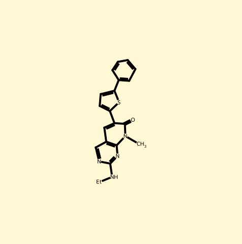 CCNc1ncc2cc(-c3ccc(-c4ccccc4)s3)c(=O)n(C)c2n1